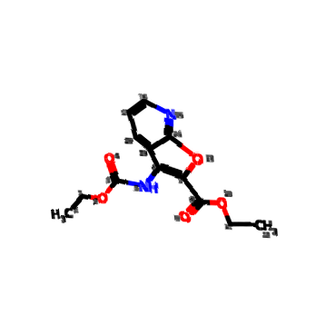 CCOC(=O)Nc1c(C(=O)OCC)oc2ncccc12